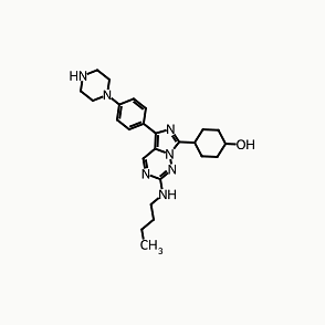 CCCCNc1ncc2c(-c3ccc(N4CCNCC4)cc3)nc(C3CCC(O)CC3)n2n1